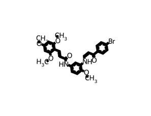 COc1cc(OC)c(/C=C/C(=O)Nc2ccc(OC)c(N/C=C\C(=O)c3ccc(Br)cc3)c2)c(OC)c1